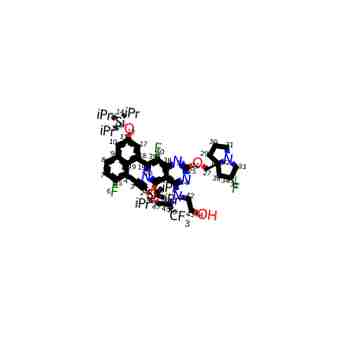 CC(C)[Si](C#Cc1c(F)ccc2cc(O[Si](C(C)C)(C(C)C)C(C)C)cc(-c3nc4c5c(nc(OC[C@@]67CCCN6C[C@H](F)C7)nc5c3F)N(CCO)C(C(F)(F)F)CO4)c12)(C(C)C)C(C)C